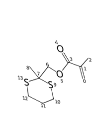 C=C(C)C(=O)OCC1(C)SCCCS1